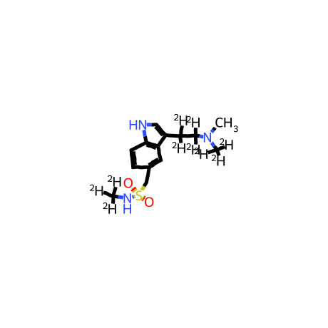 [2H]C([2H])([2H])NS(=O)(=O)Cc1ccc2[nH]cc(C([2H])([2H])C([2H])([2H])N(C)C([2H])([2H])[2H])c2c1